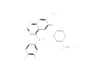 COc1cc2ncnc(Nc3ccc(F)c(Cl)c3)c2cc1O[C@H]1CC[C@@H](N(C)C(C)=O)CC1